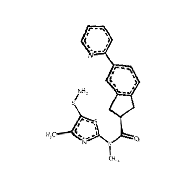 Cc1nc(N(C)C(=O)[C@@H]2Cc3ccc(-c4ccccn4)cc3C2)sc1SN